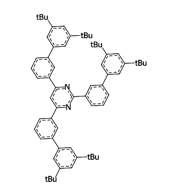 CC(C)(C)c1cc(-c2cccc(-c3cc(-c4cccc(-c5cc(C(C)(C)C)cc(C(C)(C)C)c5)c4)nc(-c4cccc(-c5cc(C(C)(C)C)cc(C(C)(C)C)c5)c4)n3)c2)cc(C(C)(C)C)c1